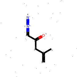 C=C(C)CC(=O)C=[N+]=[N-]